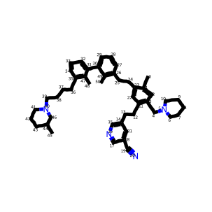 Cc1cc(CN2CCCCC2)c(CCc2cncc(C#N)c2)cc1CCc1cccc(-c2cccc(CCCCN3CCCC(C)C3)c2C)c1C